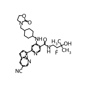 CC(C)(O)[C@H](F)CNC(=O)c1cnc(-c2ccc3cc(C#N)cnn23)cc1NC1CCC(CN2CCOC2=O)CC1